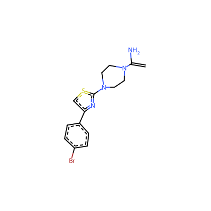 C=C(N)N1CCN(c2nc(-c3ccc(Br)cc3)cs2)CC1